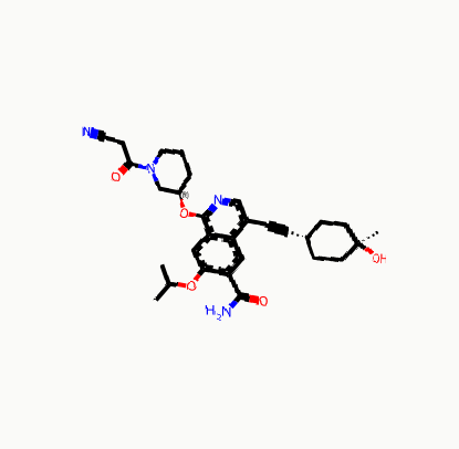 CC(C)Oc1cc2c(O[C@@H]3CCCN(C(=O)CC#N)C3)ncc(C#C[C@H]3CC[C@](C)(O)CC3)c2cc1C(N)=O